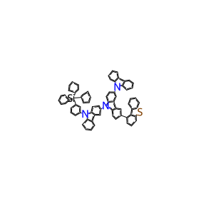 c1ccc([Si](c2ccccc2)(c2ccccc2)c2cccc(-n3c4ccccc4c4cc(-n5c6ccc(-c7cccc8sc9ccccc9c78)cc6c6cc(-n7c8ccccc8c8ccccc87)ccc65)ccc43)c2)cc1